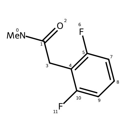 CNC(=O)Cc1c(F)cccc1F